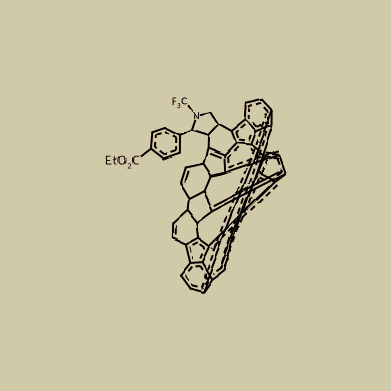 CCOC(=O)c1ccc(C2C3C4=c5c6c7c8c9c%10c%11c(c%12ccc%13c%14ccc%15c(c5c5c%15c%14c(c%13c%12%10)c9c75)C3CN2C(F)(F)F)C=CC2C%11C=8C3C2C=CC4C63)cc1